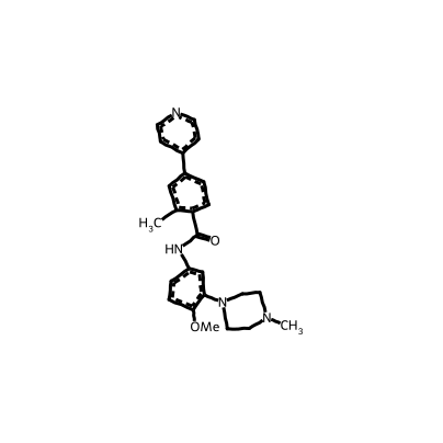 COc1ccc(NC(=O)c2ccc(-c3ccncc3)cc2C)cc1N1CCN(C)CC1